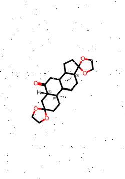 C[C@]12CCC3C(CC(=O)[C@H]4CC5(CC[C@]34C)OCCO5)C1CCC21OCCO1